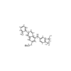 CC(C)COCc1nc(Nc2ccc3c(c2)N(C)CC3(C)C)c2ccc(-c3ncccc3Cl)nc2n1